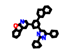 c1ccc(-c2cc(-c3cc(-c4ccc5ccccc5c4)cc(-c4cnc5oc6ccccc6c5c4)c3)nc(-c3ccccc3)n2)cc1